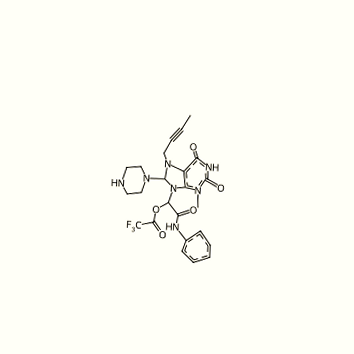 CC#CCN1c2c(n(C)c(=O)[nH]c2=O)N(C(OC(=O)C(F)(F)F)C(=O)Nc2ccccc2)C1N1CCNCC1